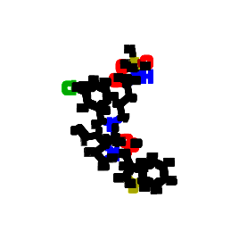 C=CCC1(C(=O)N(CCCC(=O)NS(C)(=O)=O)Cc2cccc(Cl)c2)CCN1C(=O)c1csc2ccccc12